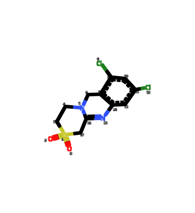 O=S1(=O)CCN2Cc3c(Cl)cc(Cl)cc3N=C2C1